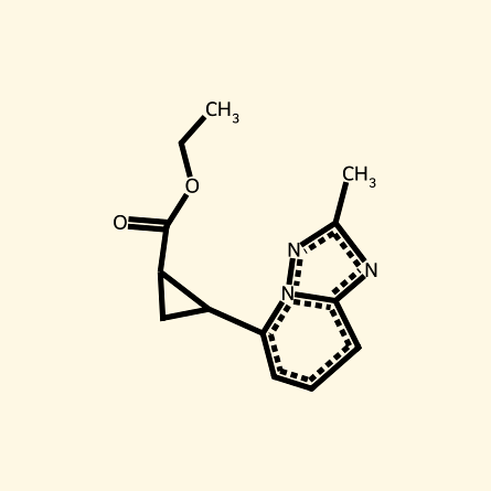 CCOC(=O)C1CC1c1cccc2nc(C)nn12